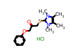 CC1=C(C)N(C)C(SCC(=O)COc2ccccc2)N1C.Cl